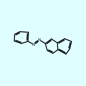 [c]1c(/N=N/c2ccccc2)ccc2ccccc12